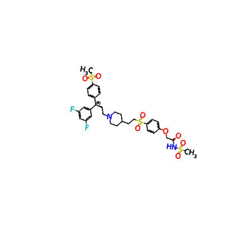 CS(=O)(=O)NC(=O)COc1ccc(S(=O)(=O)CCC2CCN(CC[C@H](c3ccc(S(C)(=O)=O)cc3)c3cc(F)cc(F)c3)CC2)cc1